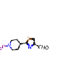 O=Cc1csc(C2CCN(P)CC2)n1